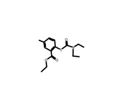 CCOC(=O)c1cc(C)ccc1SC(=O)N(CC)CC